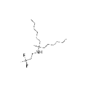 CCCCCCC(C)(CCCCCC)NCCC(C)(F)F